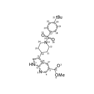 COC(=O)c1cnc2[nH]cc(C3CCN(S(=O)(=O)c4ccc(C(C)(C)C)cc4)CC3)c2c1